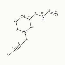 CC#CCN1CCOC(CNC=O)C1